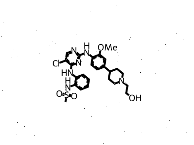 COc1cc(C2CCN(CCO)CC2)ccc1Nc1ncc(Cl)c(Nc2ccccc2NS(C)(=O)=O)n1